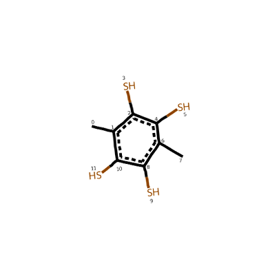 Cc1c(S)c(S)c(C)c(S)c1S